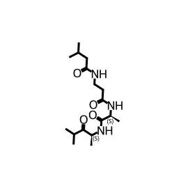 CC(C)CC(=O)NCCC(=O)N[C@@H](C)C(=O)N[C@@H](C)C(=O)C(C)C